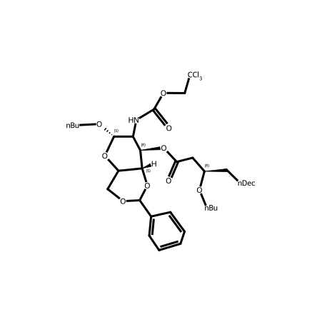 CCCCCCCCCCC[C@H](CC(=O)O[C@@H]1C(NC(=O)OCC(Cl)(Cl)Cl)[C@@H](OCCCC)OC2COC(c3ccccc3)O[C@H]21)OCCCC